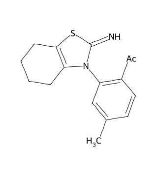 CC(=O)c1ccc(C)cc1-n1c2c(sc1=N)CCCC2